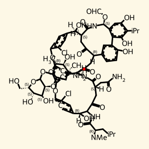 CN[C@H](CC(C)C)C(=O)NC1C(=O)C[C@@H](CC(N)=O)C(=O)N[C@H]2C(=O)C[C@H]3C(=O)C[C@H](C(=O)N[C@@H](OC=O)c4cc(O)c(C(C)C)c(O)c4-c4cc3ccc4O)[C@H](O)c3ccc(c(Cl)c3)Oc3cc2cc(c3OC2O[C@@H](CO)[C@@H](O)[C@H](O)[C@@H]2O[C@@H]2C[C@](C)(N)[C@H](O)[C@@H](C)O2)Oc2ccc(cc2Cl)[C@H]1O